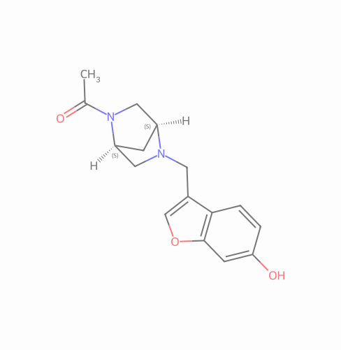 CC(=O)N1C[C@@H]2C[C@H]1CN2Cc1coc2cc(O)ccc12